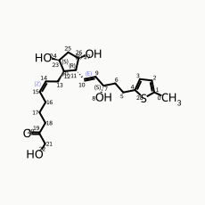 Cc1ccc(CC[C@H](O)/C=C/[C@@H]2[C@@H](C/C=C\CCCC(=O)CO)[C@@H](O)C[C@H]2O)s1